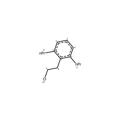 CCCc1cccc(CCC)c1CC[O]